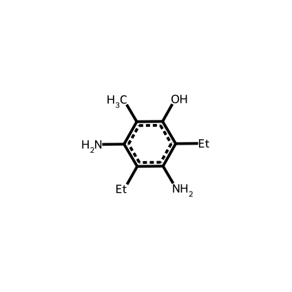 CCc1c(N)c(C)c(O)c(CC)c1N